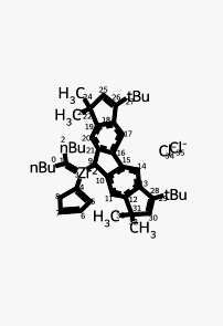 CCCC[C](CCCC)=[Zr+2]([C]1=CC=CC1)[CH]1c2cc3c(cc2-c2cc4c(cc21)C(C)(C)C=C4C(C)(C)C)C(C(C)(C)C)=CC3(C)C.[Cl-].[Cl-]